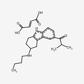 CCCCNC1CCc2[nH]c3ccc(C(=O)C(C)C)cc3c2C1.O=C(O)C=CC(=O)O